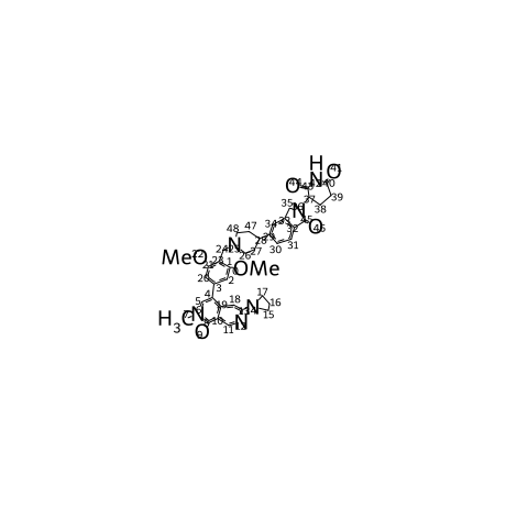 COc1cc(-c2cn(C)c(=O)c3cnc(N4CCC4)cc23)cc(OC)c1CN1CCC(c2ccc3c(c2)CN(C2CCC(=O)NC2=O)C3=O)CC1